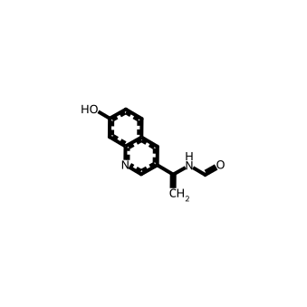 C=C(NC=O)c1cnc2cc(O)ccc2c1